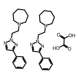 O=C(O)C(=O)O.c1ccc(-c2cnn(CCN3CCCCCC3)n2)cc1.c1ccc(-c2cnn(CCN3CCCCCC3)n2)cc1